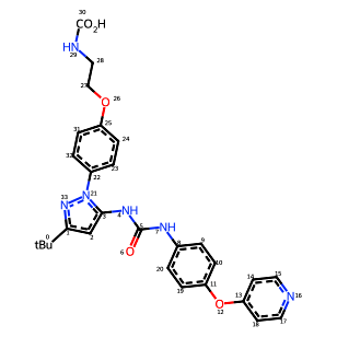 CC(C)(C)c1cc(NC(=O)Nc2ccc(Oc3ccncc3)cc2)n(-c2ccc(OCCNC(=O)O)cc2)n1